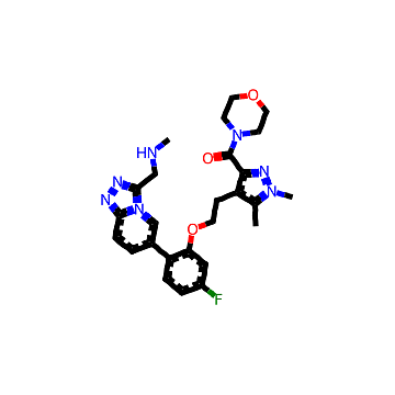 CNCc1nnc2ccc(-c3ccc(F)cc3OCCc3c(C(=O)N4CCOCC4)nn(C)c3C)cn12